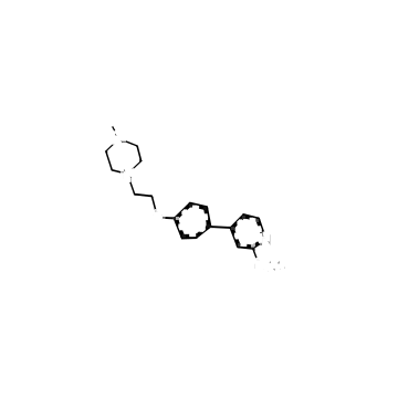 COc1cc(-c2ccc(OCCN3CCN(C)CC3)cc2)c[c]n1